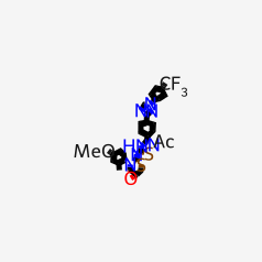 COc1ccc(N2/C(=N/C(=S)NC(c3ccc(-c4ncn(-c5ccc(C(F)(F)F)cc5)n4)cc3)N(C)C(C)=O)SCC3OC32)c(C)c1